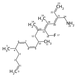 C=CCCC(C)/C=C\C=C/C(C)CC(=C)/C(CF)=C(C)/C=C(\C=C)CN